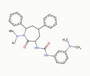 CC(=O)N(N1C(=O)C(NC(=O)Nc2cccc(N(C)C)c2)CC(c2ccccc2)CC1c1ccccc1)C(C)(C)C